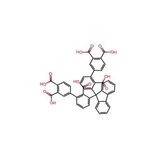 O=C(O)c1ccc(-c2cccc(C3(c4cccc(-c5ccc(C(=O)O)c(C(=O)O)c5)c4C(=O)O)c4ccccc4-c4ccccc43)c2C(=O)O)cc1C(=O)O